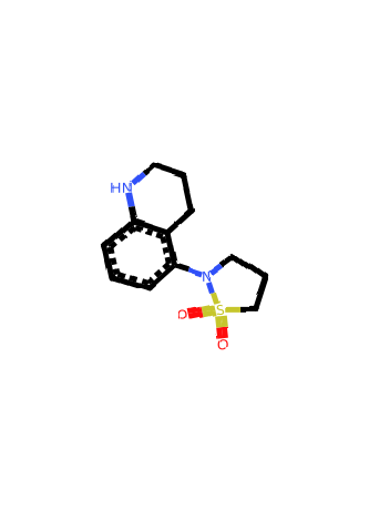 O=S1(=O)CCCN1c1cccc2c1CCCN2